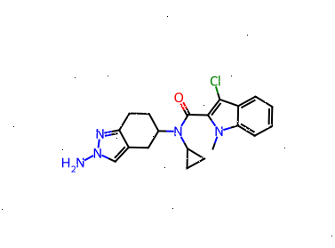 Cn1c(C(=O)N(C2CC2)C2CCc3nn(N)cc3C2)c(Cl)c2ccccc21